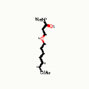 CNC(=O)CCOCCCCCCOC